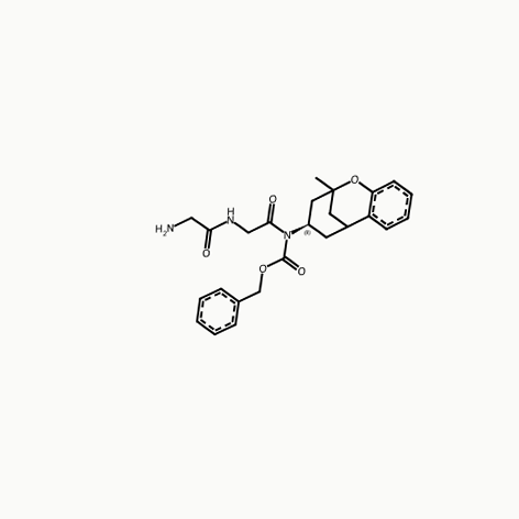 CC12CC(C[C@@H](N(C(=O)CNC(=O)CN)C(=O)OCc3ccccc3)C1)c1ccccc1O2